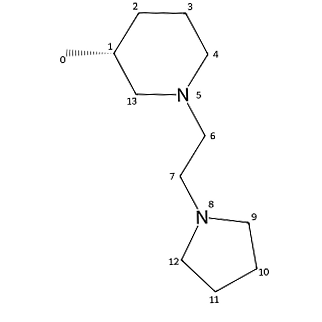 C[C@@H]1CCCN(CCN2CCCC2)C1